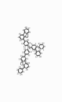 c1ccc(-c2ccc(N(c3ccc(-c4ccc5oc6c(-c7ccccc7)cccc6c5c4)cc3)c3ccc(-c4cccc5c4oc4ccccc45)cc3)cc2-c2ccccc2)cc1